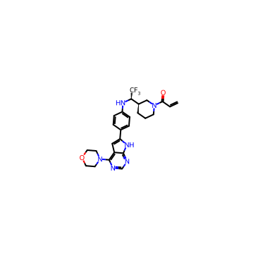 C=CC(=O)N1CCC[C@@H]([C@@H](Nc2ccc(-c3cc4c(N5CCOCC5)ncnc4[nH]3)cc2)C(F)(F)F)C1